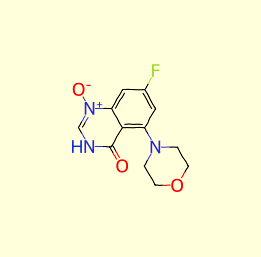 O=c1[nH]c[n+]([O-])c2cc(F)cc(N3CCOCC3)c12